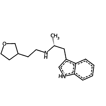 C[C@H](Cc1c[nH]c2ccccc12)NCCC1CCOC1